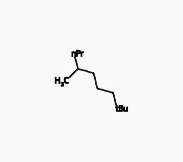 [CH2]CCC(C)CCCC(C)(C)C